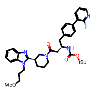 COCCCn1c([C@@H]2CCCN(C(=O)C[C@@H](Cc3ccc(-c4cccnc4F)cc3)NC(=O)OC(C)(C)C)C2)nc2ccccc21